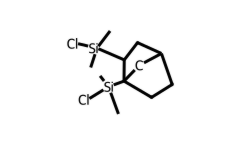 C[Si](C)(Cl)C1CC2CCC1([Si](C)(C)Cl)C2